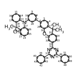 CC1(C)c2ccc(-c3cccc(N4c5ccccc5C(C)(C)c5ccccc54)c3)cc2Oc2cc(-c3nc(-c4ccccc4)nc(-c4ccccc4)n3)ccc21